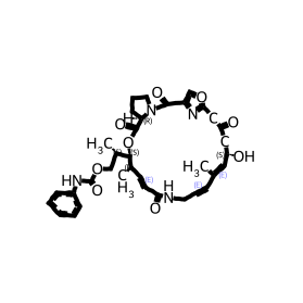 CC1=C\[C@@H](O)CC(=O)Cc2nc(co2)C(=O)N2CCC[C@@H]2C(=O)O[C@H]([C@@H](C)COC(=O)Nc2ccccc2)[C@H](C)/C=C/C(=O)NC\C=C\1